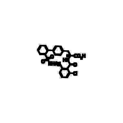 CC(=O)NS(=O)(=O)c1ccccc1-c1ccc(C[C@H](NC(=O)c2c(Cl)cccc2Cl)C(=O)O)cc1